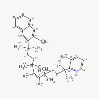 CC(=O)/C(=C(\C(C)=O)C(C)(C)CCC(C)(C)c1ncccc1C(C)(C)C)C(C)(C)CCC(C)(C)c1cc2ccccc2cc1C(C)(C)C